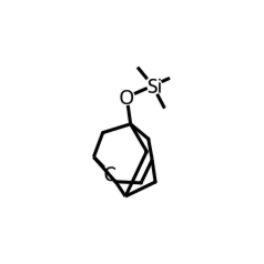 C[Si](C)(C)OC12CC3CCC(CC(C3)C1)C2